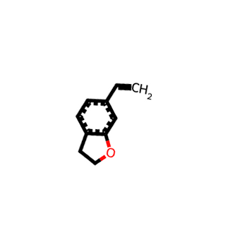 C=Cc1ccc2c(c1)OCC2